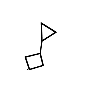 [CH]1CC(C2CC2)C1